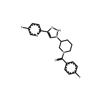 O=C(c1ccc(F)cc1)N1CCCC(N2C=C(c3ccc(F)cn3)ON2)C1